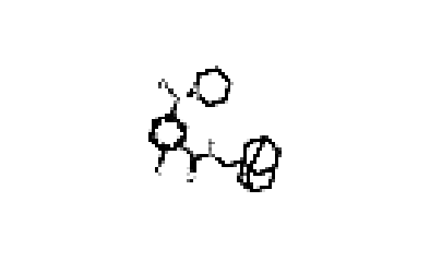 O=C(NCC12CC3CC(CC(C3)C1)C2)c1cc([S+]([O-])N2CCCCC2)ccc1Cl